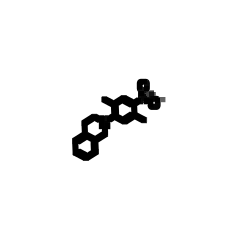 Cc1cc([N+](=O)[O-])c(C)cc1N1CCc2ccccc2C1